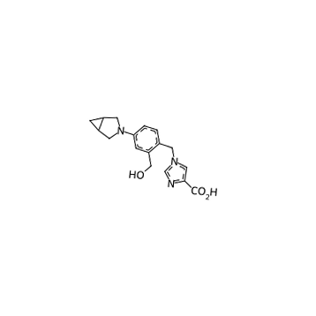 O=C(O)c1cn(Cc2ccc(N3CC4CC4C3)cc2CO)cn1